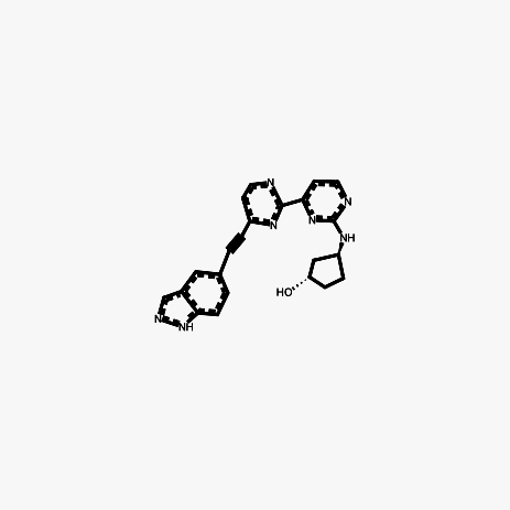 O[C@H]1CC[C@H](Nc2nccc(-c3nccc(C#Cc4ccc5[nH]ncc5c4)n3)n2)C1